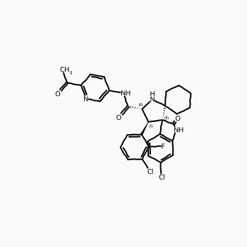 CC(=O)c1ccc(NC(=O)[C@@H]2NC3(CCCCC3)[C@@]3(C(=O)Nc4cc(Cl)ccc43)[C@H]2c2cccc(Cl)c2F)cn1